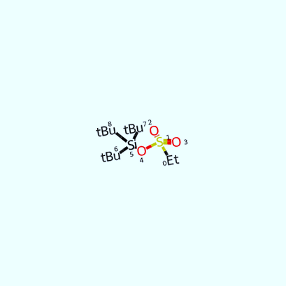 CCS(=O)(=O)O[Si](C(C)(C)C)(C(C)(C)C)C(C)(C)C